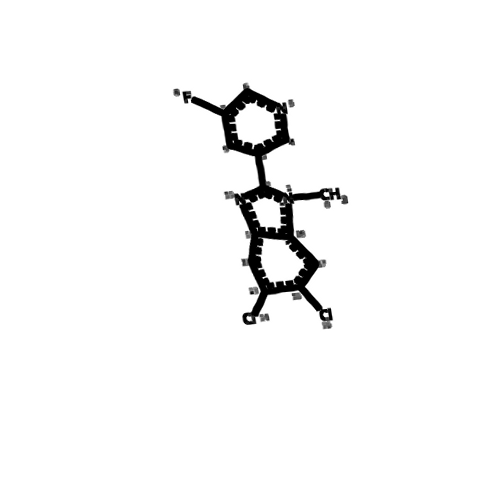 Cn1c(-c2cncc(F)c2)nc2cc(Cl)c(Cl)cc21